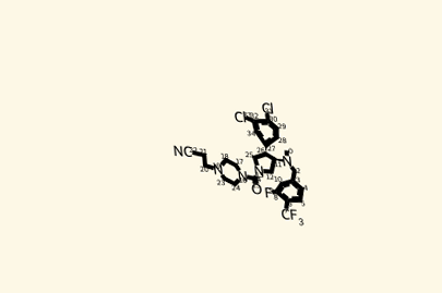 CN(Cc1ccc(C(F)(F)F)c(F)c1)[C@H]1CN(C(=O)N2CCN(CCC#N)CC2)C[C@@H]1c1ccc(Cl)c(Cl)c1